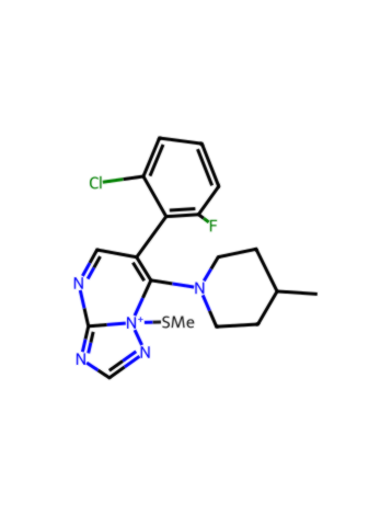 CS[N+]12N=CN=C1N=CC(c1c(F)cccc1Cl)=C2N1CCC(C)CC1